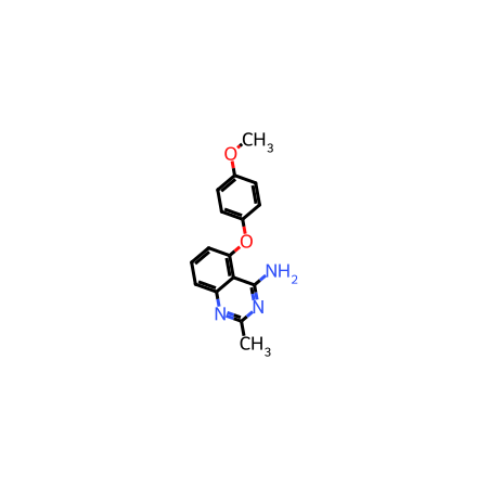 COc1ccc(Oc2cccc3nc(C)nc(N)c23)cc1